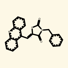 O=C1S/C(=C\c2c3ccccc3nc3ccccc23)C(=O)N1Cc1ccccc1